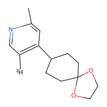 [2H]c1cnc(C)cc1C1CCC2(CC1)OCCO2